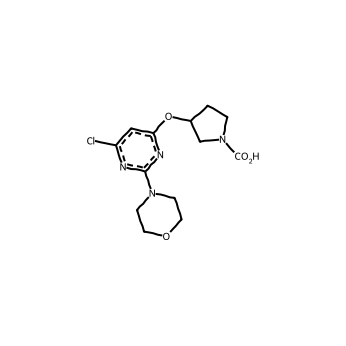 O=C(O)N1CCC(Oc2cc(Cl)nc(N3CCOCC3)n2)C1